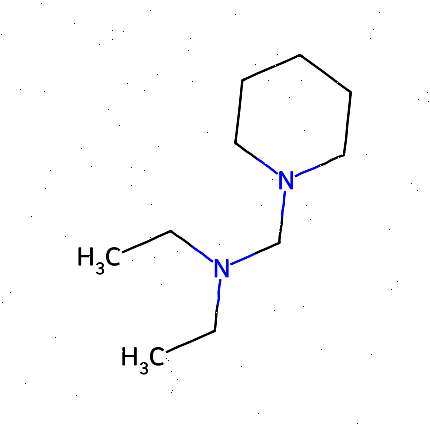 CCN(CC)CN1CCCCC1